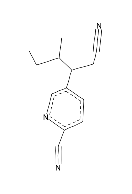 CCC(C)C(CC#N)c1ccc(C#N)nc1